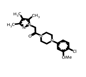 COc1cc(N2CCN(C(=O)Cn3nc(C)c(C)c3C)CC2)ccc1Cl